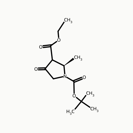 CCOC(=O)C1C(=O)CN(C(=O)OC(C)(C)C)[C@@H]1C